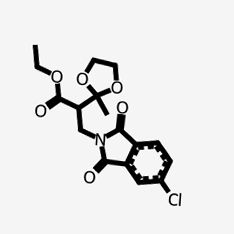 CCOC(=O)C(CN1C(=O)c2ccc(Cl)cc2C1=O)C1(C)OCCO1